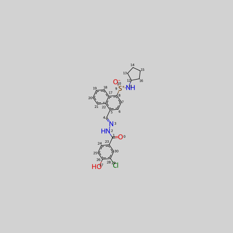 O=C(N/N=C/c1ccc([S+]([O-])NC2CCCC2)c2ccccc12)c1ccc(O)c(Cl)c1